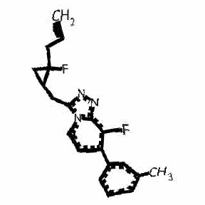 C=CCC1(F)CC1Cc1nnc2c(F)c(-c3cccc(C)c3)ccn12